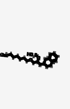 CCCCCCCCCCCCCCCCOCC(CN1CCc2ccccc2C1)OS(=O)(=O)O